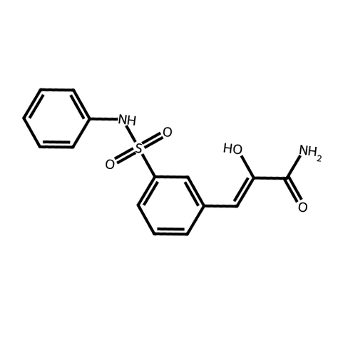 NC(=O)/C(O)=C/c1cccc(S(=O)(=O)Nc2ccccc2)c1